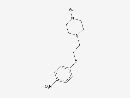 CC(=O)N1CCN(CCOc2ccc([N+](=O)[O-])cc2)CC1